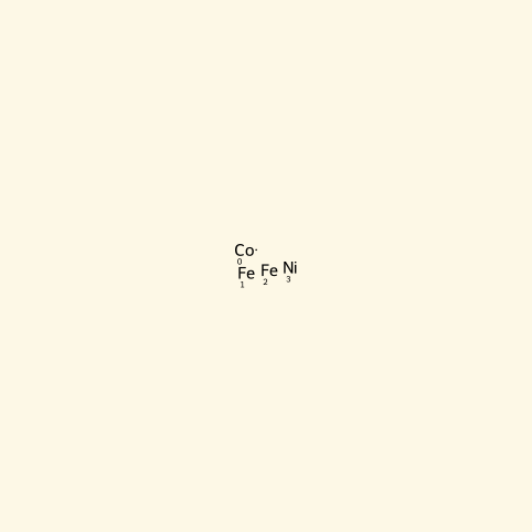 [Co].[Fe].[Fe].[Ni]